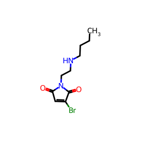 CCCCNCCN1C(=O)C=C(Br)C1=O